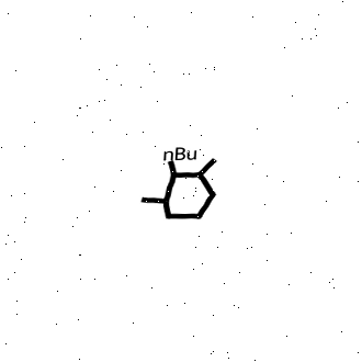 CCCCC1C(C)CCCC1C